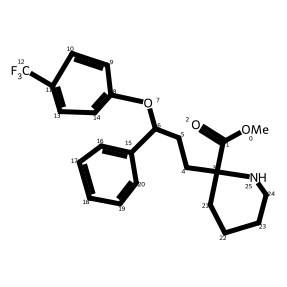 COC(=O)C1(CCC(Oc2ccc(C(F)(F)F)cc2)c2ccccc2)CCCCN1